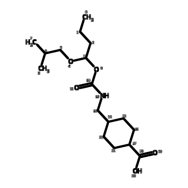 CCCC(OCC(C)C)OC(=O)NCC1CCC(C(=O)O)CC1